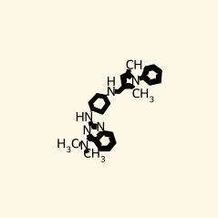 Cc1cc(CN[C@H]2CC[C@@H](Nc3nc(N(C)C)c4ccccc4n3)CC2)c(C)n1-c1ccccc1